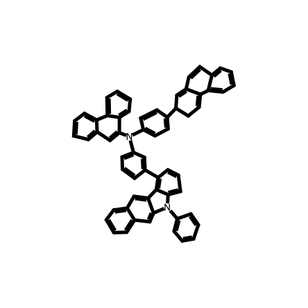 C1=c2ccc3ccccc3c2=CCC1c1ccc(N(c2cccc(-c3cccc4c3c3cc5ccccc5cc3n4-c3ccccc3)c2)c2cc3ccccc3c3ccccc23)cc1